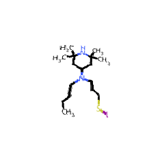 CCCCN(CCCSI)C1CC(C)(C)NC(C)(C)C1